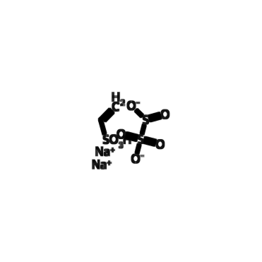 C=CS(=O)(=O)O.O=S([O-])S(=O)(=O)[O-].[Na+].[Na+]